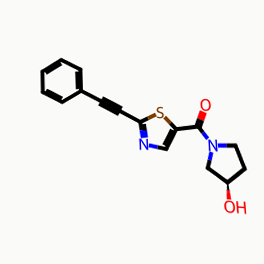 O=C(c1cnc(C#Cc2ccccc2)s1)N1CC[C@@H](O)C1